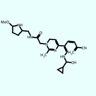 C=C(C#N)/C=C\C(=C\NC(O)C1CC1)C1=CCN(CC(=O)NCC2CCC(OC)N2)C(C)=N1